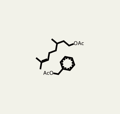 CC(=O)OCCC(C)CCC=C(C)C.CC(=O)OCc1ccccc1